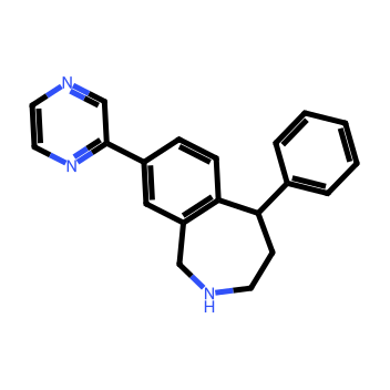 c1ccc(C2CCNCc3cc(-c4cnccn4)ccc32)cc1